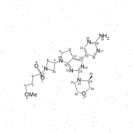 COCCCS(=O)(=O)N1CC(N2CCc3c(-c4cnc(N)nc4)nc(N4CCOC[C@@H]4C)nc32)C1